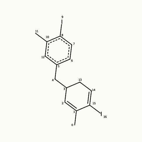 CC1=CC(Cc2ccc(I)c(C)c2)CC=C1I